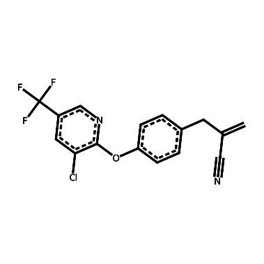 C=C(C#N)Cc1ccc(Oc2ncc(C(F)(F)F)cc2Cl)cc1